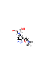 CN(C)c1ccc(-c2cc(N(CCO)CCO)ccc2N)o1